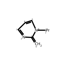 C=C1N=CC=CN1C(C)C